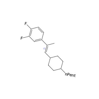 CCCCCC1CCC(/C=C(\C)c2ccc(F)c(F)c2)CC1